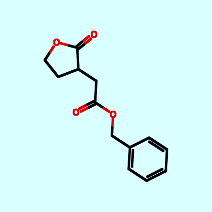 O=C(CC1CCOC1=O)OCc1ccccc1